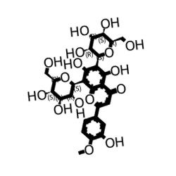 COc1ccc(-c2cc(=O)c3c(O)c([C@@H]4O[C@H](CO)[C@@H](O)[C@H](O)[C@H]4O)c(O)c([C@@H]4O[C@H](CO)[C@@H](O)[C@H](O)[C@H]4O)c3o2)cc1O